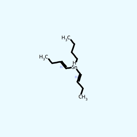 CC/C=[CH]/[SnH](/[CH]=C/CC)[CH2]CCC